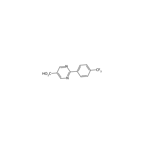 O=C(O)c1cnc(-c2ccc(C(F)(F)F)cc2)nc1